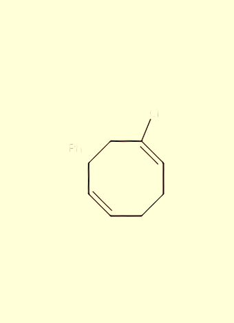 ClC1=CCCC=CCC1.[Rh+]